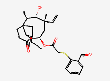 C=C[C@]1(C)C[C@@H](OC(=O)CSc2ccccc2C=O)[C@]2(C)C(C)CC34CC(CCC3=O)(C42)[C@@H](C)[C@@H]1O